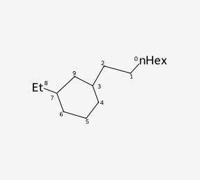 CCCCCCCCC1CCCC(CC)C1